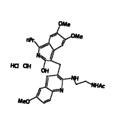 CCCc1nc(O)c(Cc2cc3cc(OC)ccc3nc2NCCNC(C)=O)c2cc(OC)c(OC)cc12.Cl.Cl